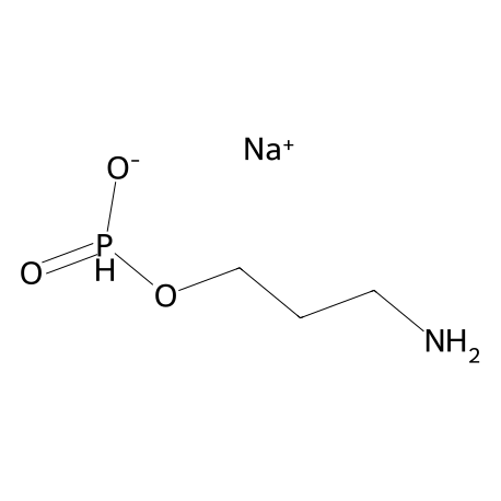 NCCCO[PH](=O)[O-].[Na+]